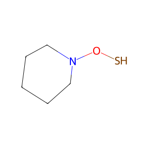 SON1CCCCC1